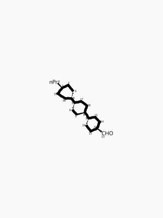 CCC[C@H]1CC[C@H]([C@H]2CC[C@H]([C@H]3CC[C@H](C=O)CC3)CC2)CC1